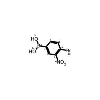 O=[N+]([O-])c1cc(B(O)O)ccc1Br